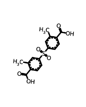 Cc1cc(S(=O)(=O)c2ccc(C(=O)O)c(C)c2)ccc1C(=O)O